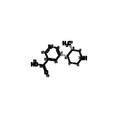 C[C@@H]1CNCC[C@@H]1c1cncc(C(=O)O)c1